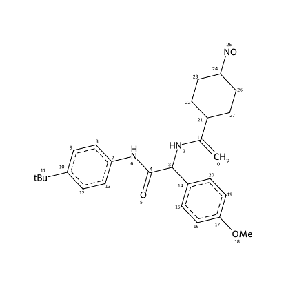 C=C(NC(C(=O)Nc1ccc(C(C)(C)C)cc1)c1ccc(OC)cc1)C1CCC(N=O)CC1